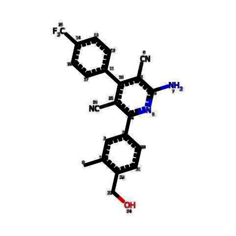 Cc1cc(-c2nc(N)c(C#N)c(-c3ccc(C(F)(F)F)cc3)c2C#N)ccc1CO